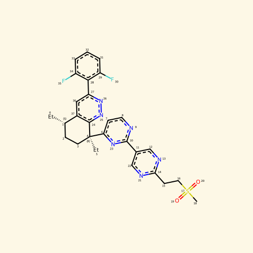 CC[C@H]1CC[C@](CC)(c2ccnc(-c3cnc(CCS(C)(=O)=O)nc3)n2)c2nnc(-c3c(F)cccc3F)cc21